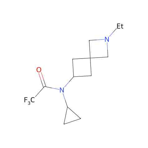 CCN1CC2(CC(N(C(=O)C(F)(F)F)C3CC3)C2)C1